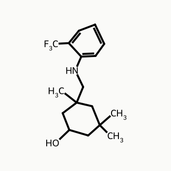 CC1(C)CC(O)CC(C)(CNc2ccccc2C(F)(F)F)C1